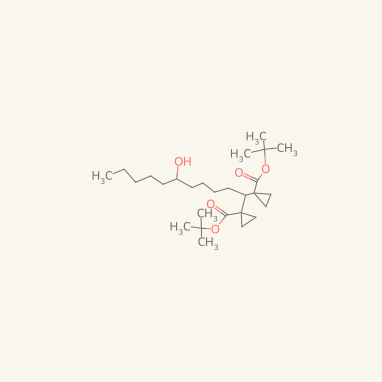 CCCCCC(O)CCCCC(C1(C(=O)OC(C)(C)C)CC1)C1(C(=O)OC(C)(C)C)CC1